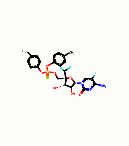 Cc1ccc(OP(=S)(OC[C@@]2(C(F)F)O[C@@H](n3cc(F)c(N)nc3=O)[C@@H](O)[C@@H]2O)Oc2ccc(C)cc2)cc1